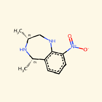 C[C@@H]1CNc2c(cccc2[N+](=O)[O-])[C@H](C)N1